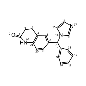 O=C1CCc2cc(C(c3ccccc3)n3ccnc3)ccc2N1